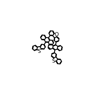 c1ccc2c(-c3ccc4oc5cccc(-c6c7ccccc7c(-c7ccc8sc9ccccc9c8c7)c7ccccc67)c5c4c3)c3ccccc3c(-c3ccc4sc5ccccc5c4c3)c2c#1